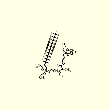 C=C(C)C(=O)OCCC[Si](OC)(OC)OC.CCO[Si](CCC(F)(F)C(F)(F)C(F)(F)C(F)(F)C(F)(F)C(F)(F)C(F)(F)C(F)(F)C(F)(F)C(F)(F)F)(OCC)OCC